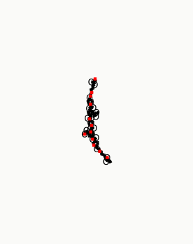 C=CC(=O)OCCCCCCOC1CCC(C(=O)Oc2ccc(OC(=O)C3CCC(C(=O)Oc4ccc(OC(=O)C5CCC(OCCCCCCOC(=O)C=C)CC5)cc4C(=O)OC)CC3)c(C(=O)OC)c2)CC1